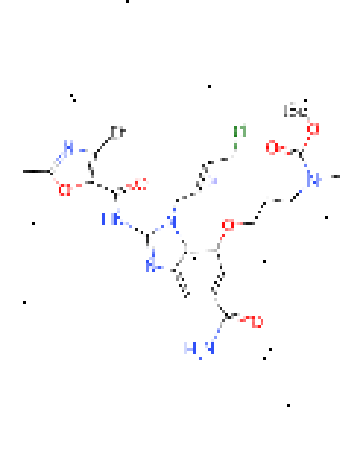 CCc1nc(C)oc1C(=O)Nc1nc2cc(C(N)=O)cc(OCCCN(C)C(=O)OC(C)(C)C)c2n1C/C=C/CCl